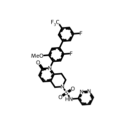 COc1cc(-c2cc(F)cc(C(F)(F)F)c2)c(F)cc1-n1c2c(ccc1=O)CN(S(=O)(=O)Nc1cccnn1)CC2